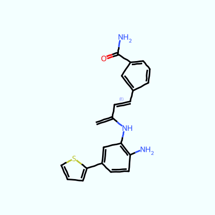 C=C(/C=C/c1cccc(C(N)=O)c1)Nc1cc(-c2cccs2)ccc1N